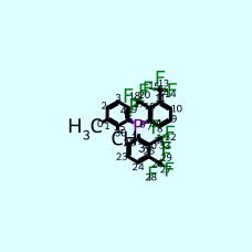 Cc1cccc(P(c2cccc(C(F)(F)F)c2C(F)(F)F)c2cccc(C(F)(F)F)c2C(F)(F)F)c1C